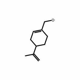 C=C(C)C1CC=C(C[O])CC1